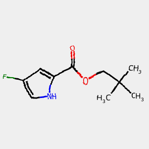 CC(C)(C)COC(=O)c1cc(F)c[nH]1